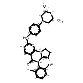 C[C@@H]1CN(c2ccc(Nc3ncc4c(n3)N3CCN=C3N(c3c(F)cccc3Cl)C4=O)cc2)C[C@H](C)O1